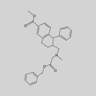 COC(=O)c1ccc2c(c1)CCC(CN(C)CC(=O)OCc1ccccc1)C2c1ccccc1